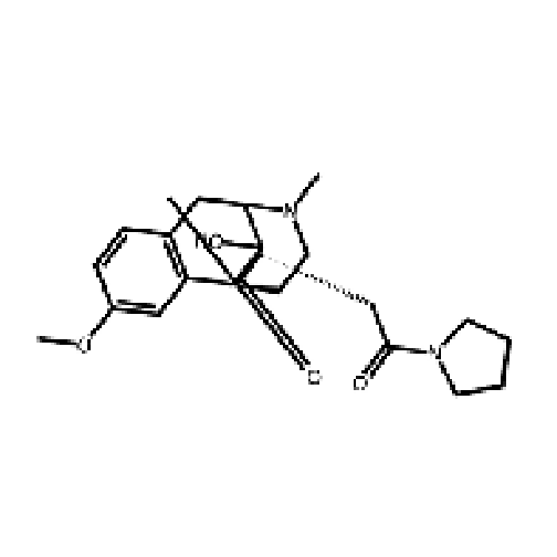 COc1ccc2c(c1)[C@]13CCN(C)C(C2)C1(O)C[C@H](CC(=O)N1CCCC1)C(=O)C3